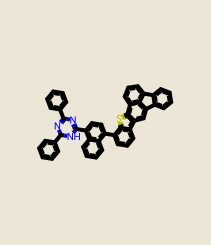 c1ccc(C2=NC(c3ccccc3)NC(c3ccc(-c4cccc5c4sc4c6cccc7c6c(cc54)-c4ccccc4-7)c4ccccc34)=N2)cc1